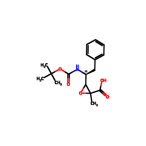 CC(C)(C)OC(=O)N[C@@H](Cc1ccccc1)C1OC1(C)C(=O)O